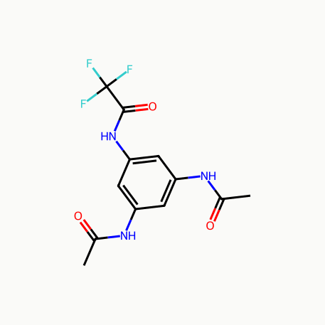 CC(=O)Nc1cc(NC(C)=O)cc(NC(=O)C(F)(F)F)c1